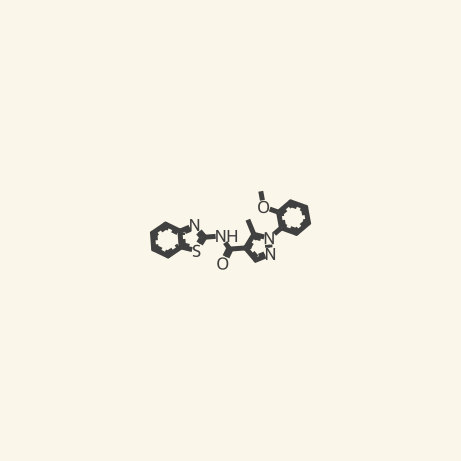 COc1ccccc1-n1ncc(C(=O)Nc2nc3ccccc3s2)c1C